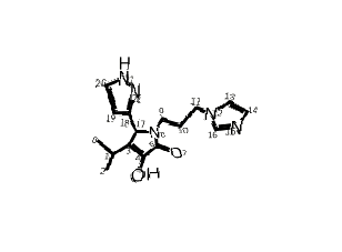 CC(C)C1=C(O)C(=O)N(CCCn2ccnc2)C1c1cc[nH]n1